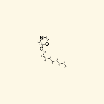 CCCCCC/C=C\COC(=O)CN